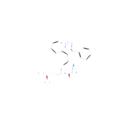 COC(=O)CCn1cc(-c2c(-c3ccccc3)nn3ccccc23)cnc1=O